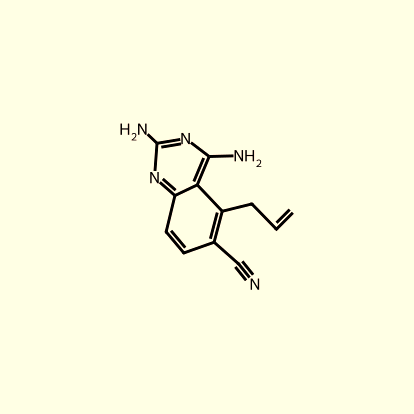 C=CCc1c(C#N)ccc2nc(N)nc(N)c12